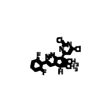 CC1(C)[C@H]2CC[C@@]1(c1cc(Cl)nc(Cl)n1)c1nnc(-c3c(F)cccc3F)cc12